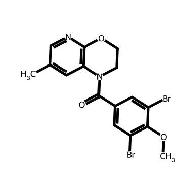 COc1c(Br)cc(C(=O)N2CCOc3ncc(C)cc32)cc1Br